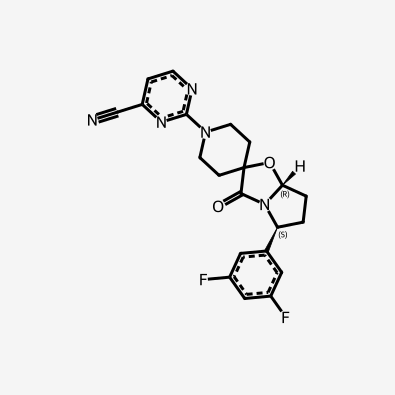 N#Cc1ccnc(N2CCC3(CC2)O[C@@H]2CC[C@@H](c4cc(F)cc(F)c4)N2C3=O)n1